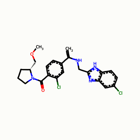 C=C(NCc1nc2cc(Cl)ccc2[nH]1)c1ccc(C(=O)N2CCC[C@@H]2COC)c(Cl)c1